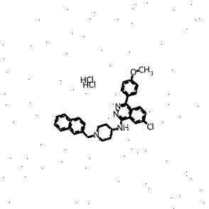 COc1ccc(-c2nnc(NC3CCN(Cc4ccc5ccccc5c4)CC3)c3cc(Cl)ccc23)cc1.Cl.Cl